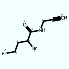 C#CCNC(=O)C(Br)CCBr